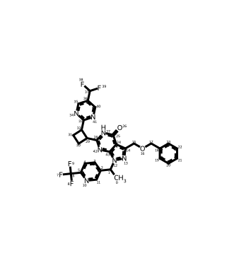 CC(c1ccc(C(F)(F)F)nc1)n1nc(COCc2ccccc2)c2c(=O)[nH]c(C3CCC3c3ncc(C(F)F)cn3)nc21